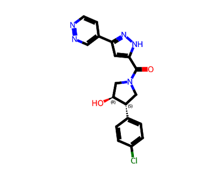 O=C(c1cc(-c2ccnnc2)n[nH]1)N1C[C@H](c2ccc(Cl)cc2)[C@@H](O)C1